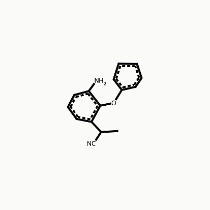 CC(C#N)c1cccc(N)c1Oc1ccccc1